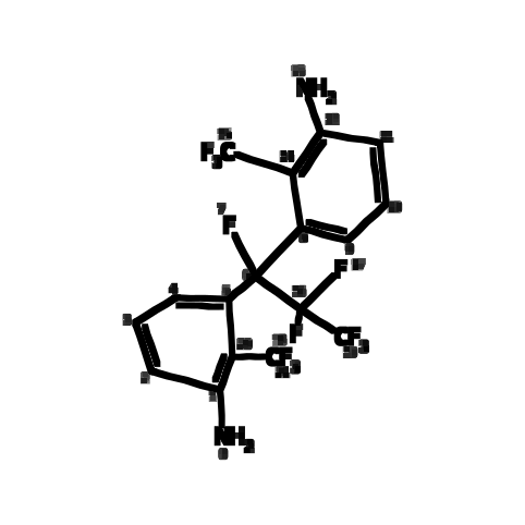 Nc1cccc(C(F)(c2cccc(N)c2C(F)(F)F)C(F)(F)C(F)(F)F)c1C(F)(F)F